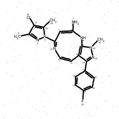 Cc1nn(-c2cc(N)[nH]c3c(ccn2)c(-c2ccc(F)cc2)nn3C)c(C)c1Cl